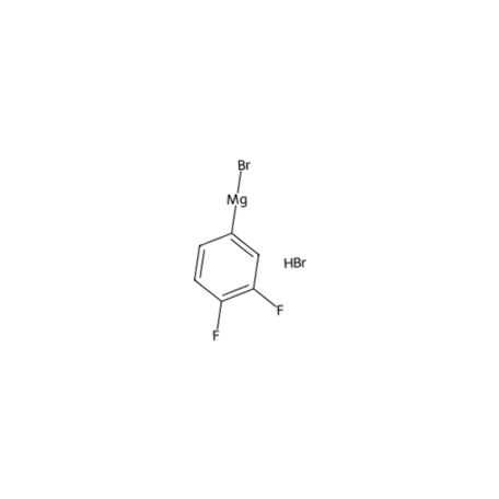 Br.Fc1cc[c]([Mg][Br])cc1F